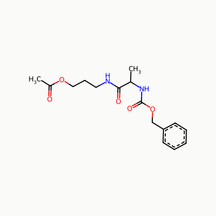 CC(=O)OCCCNC(=O)C(C)NC(=O)OCc1ccccc1